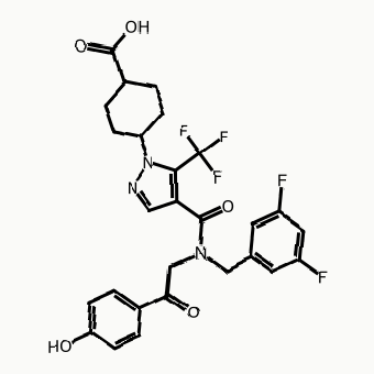 O=C(CN(Cc1cc(F)cc(F)c1)C(=O)c1cnn(C2CCC(C(=O)O)CC2)c1C(F)(F)F)c1ccc(O)cc1